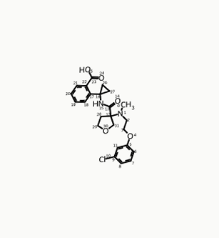 CN(CCOc1cccc(Cl)c1)C1(C(=O)NC2(c3ccccc3C(=O)O)CC2)CCOC1